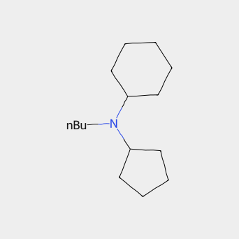 [CH2]CCCN(C1CCCCC1)C1CCCC1